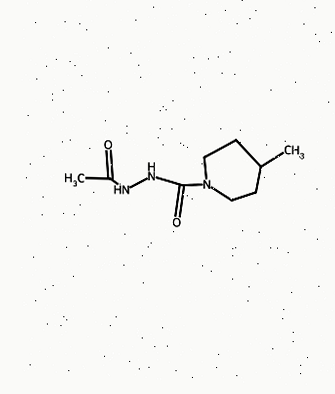 CC(=O)NNC(=O)N1CCC(C)CC1